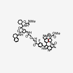 CN[C@@H](C)C(=O)N[C@H](C(=O)N1C[C@@H](NC(=O)COCCNC(=O)c2ccc(-c3[nH]c4ncc5c(c4c3-c3ccc4c(cnn4C(C)C)c3)n([C@@H]3CC[C@@H](NC(=O)OC)C3)c(=O)n5C)cc2F)C[C@H]1C(=O)N[C@@H]1CCCc2ccccc21)C1CCCCC1